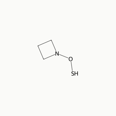 SON1CCC1